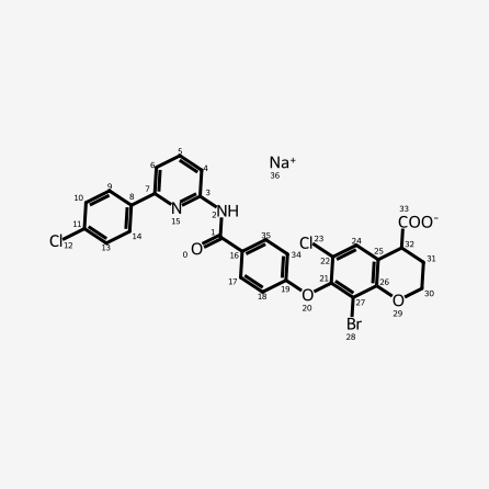 O=C(Nc1cccc(-c2ccc(Cl)cc2)n1)c1ccc(Oc2c(Cl)cc3c(c2Br)OCCC3C(=O)[O-])cc1.[Na+]